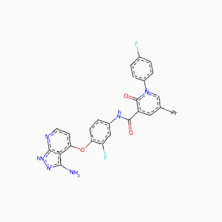 CC(C)c1cc(C(=O)Nc2ccc(Oc3ccnc4[nH]nc(N)c34)c(F)c2)c(=O)n(-c2ccc(F)cc2)c1